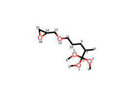 COC(OC)(OC)C(C)CCCOCC1CO1